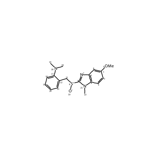 COc1ccc2c(c1)nc([S+]([O-])Cc1ccccc1N(C)C)n2C